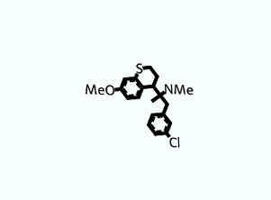 CNC(C)(Cc1cccc(Cl)c1)C1CCSc2cc(OC)ccc21